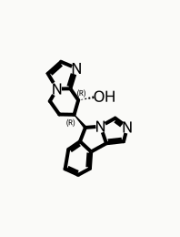 O[C@H]1c2nccn2CC[C@@H]1C1c2ccccc2-c2cncn21